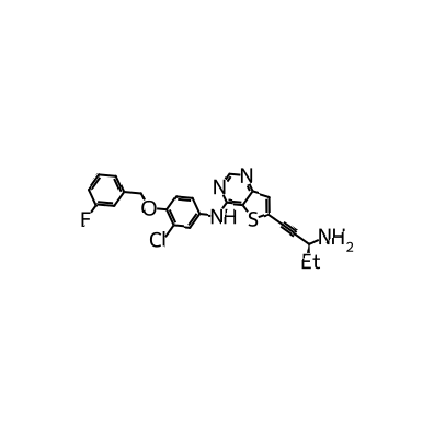 CC[C@H](N)C#Cc1cc2ncnc(Nc3ccc(OCc4cccc(F)c4)c(Cl)c3)c2s1